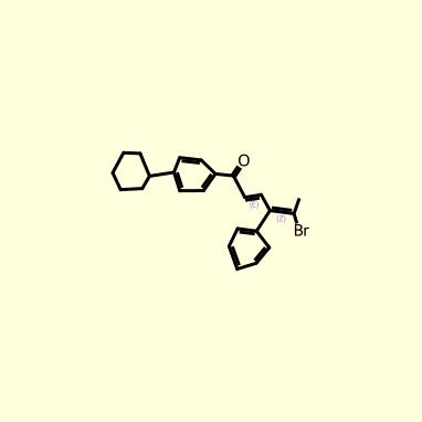 C/C(Br)=C(\C=C\C(=O)c1ccc(C2CCCCC2)cc1)c1ccccc1